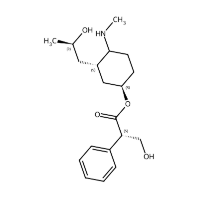 CNC1CC[C@@H](OC(=O)[C@H](CO)c2ccccc2)C[C@@H]1C[C@@H](C)O